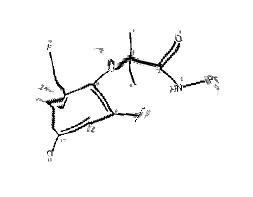 CC(C)NC(=O)C(C)(C)Oc1c(F)cc(Cl)cc1F